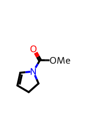 COC(=O)N1C=CCC1